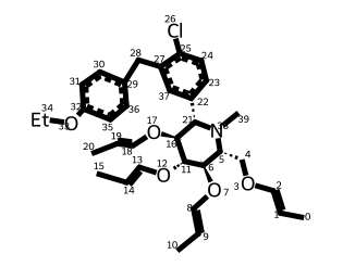 CC=COC[C@@H]1[C@@H](OC=CC)[C@H](OC=CC)[C@@H](OC=CC)[C@H](c2ccc(Cl)c(Cc3ccc(OCC)cc3)c2)N1C